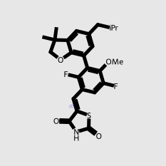 COc1c(F)cc(/C=C2\SC(=O)NC2=O)c(F)c1-c1cc(CC(C)C)cc2c1OCC2(C)C